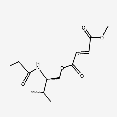 CCC(=O)N[C@@H](COC(=O)/C=C/C(=O)OC)C(C)C